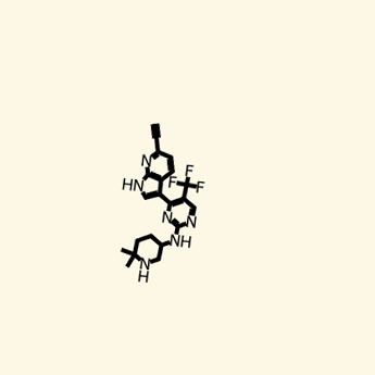 C#Cc1ccc2c(-c3nc(NC4CCC(C)(C)NC4)ncc3C(F)(F)F)c[nH]c2n1